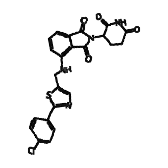 O=C1CCC(N2C(=O)c3cccc(NCc4cnc(-c5ccc(Cl)cc5)s4)c3C2=O)C(=O)N1